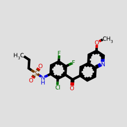 CCCS(=O)(=O)Nc1cc(F)c(F)c(C(=O)c2ccc3ncc(OC)cc3c2)c1Cl